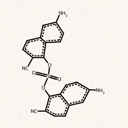 N#Cc1ccc2cc(N)ccc2c1OS(=O)(=O)Oc1c(C#N)ccc2cc(N)ccc12